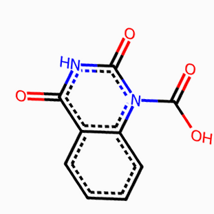 O=C(O)n1c(=O)[nH]c(=O)c2ccccc21